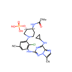 COC(=O)N[C@H]1CCN(c2cc(C#N)cc(Nc3nc(NC4CC4)c4ncc(C#N)n4n3)c2Cl)C[C@@H]1OP(=O)(O)O